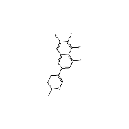 CC1CCC(c2cc(F)c3c(F)c(F)c(F)cc3c2)=CO1